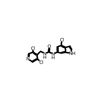 O=C(NCc1c(Cl)cncc1Cl)Nc1cc(Cl)c2cc[nH]c2c1